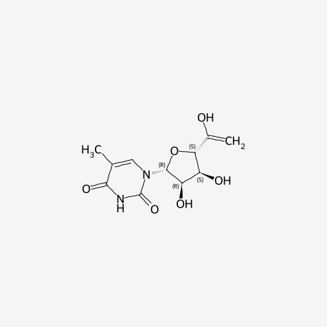 C=C(O)[C@H]1O[C@@H](n2cc(C)c(=O)[nH]c2=O)[C@H](O)[C@@H]1O